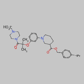 CC(C)c1ccc(COC(=O)C2CCCN(c3cccc(OC(C)(C)C(=O)N4CCN(C(=O)O)CC4)c3)C2)cc1